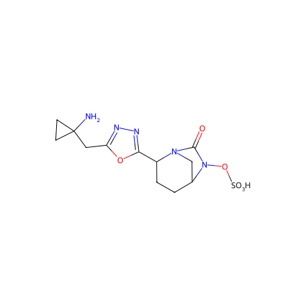 NC1(Cc2nnc(C3CCC4CN3C(=O)N4OS(=O)(=O)O)o2)CC1